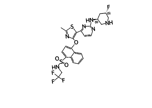 Cc1nc(Oc2ccc(S(=O)(=O)NCC(F)(F)F)c3ccccc23)c(-c2ccnc(N[C@@H]3CNC[C@@H](F)C3)n2)s1